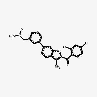 C[S+]([O-])Cc1cccc(-c2ccc3c(N)c(C(=O)c4ccc(Cl)cc4Cl)oc3c2)c1